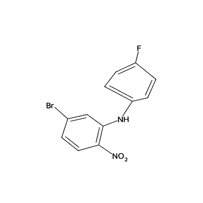 O=[N+]([O-])c1ccc(Br)cc1Nc1ccc(F)cc1